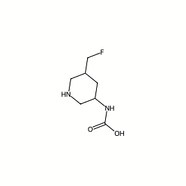 O=C(O)NC1CNCC(CF)C1